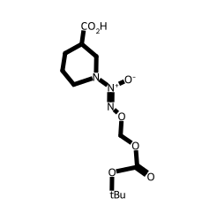 CC(C)(C)OC(=O)OCON=[N+]([O-])N1CCCC(C(=O)O)C1